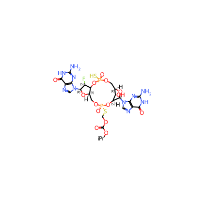 CC(C)OC(=O)OCSP1(=O)OC[C@H]2O[C@@H](n3cnc4c(=O)[nH]c(N)nc43)[C@@H](F)C2OP(=O)(S)OC[C@H]2O[C@@H](n3cnc4c(=O)[nH]c(N)nc43)[C@@H](O1)C2O